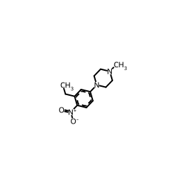 CCc1cc(N2CCN(C)CC2)ccc1[N+](=O)[O-]